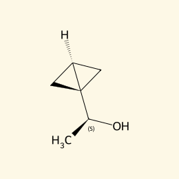 C[C@H](O)[C@]12C[C@H]1C2